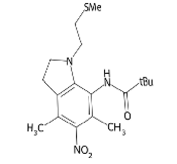 CSCCN1CCc2c(C)c([N+](=O)[O-])c(C)c(NC(=O)C(C)(C)C)c21